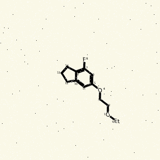 CCOCCOc1cc(F)c2c(c1)CCC2